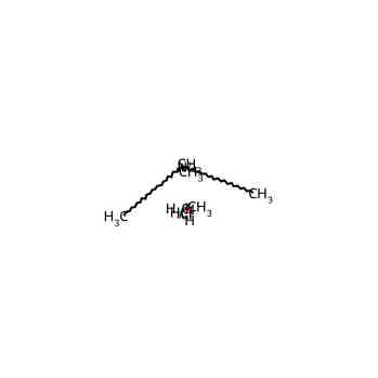 CCCCCCCCCCCCCCCCCCCCCC[N+](C)(C)CCCCCCCCCCCCCCCCCCCCCC.CNC.Cl.[Cl-]